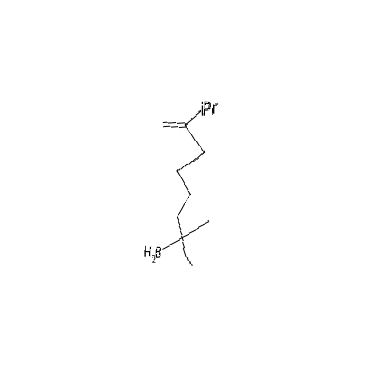 BC(C)(C)CCCCC(=C)C(C)C